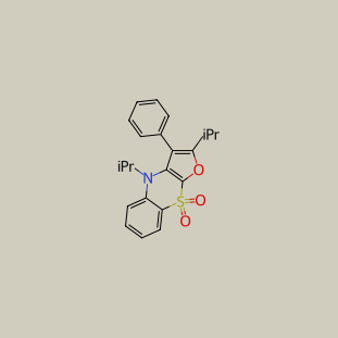 CC(C)c1oc2c(c1-c1ccccc1)N(C(C)C)c1ccccc1S2(=O)=O